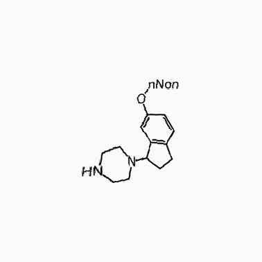 CCCCCCCCCOc1ccc2c(c1)C(N1CCNCC1)CC2